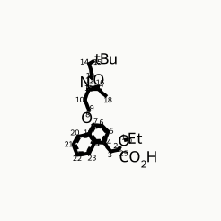 CCOC(Cc1ccc(OCCc2nc(CC(C)(C)C)oc2C)c2ccccc12)C(=O)O